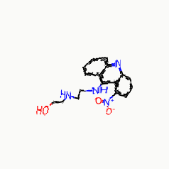 O=[N+]([O-])c1cccc2nc3ccccc3c(NCCNCCO)c12